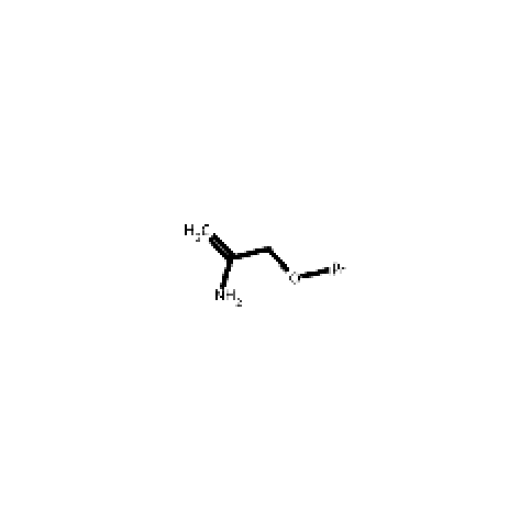 C=C(N)COC(C)C